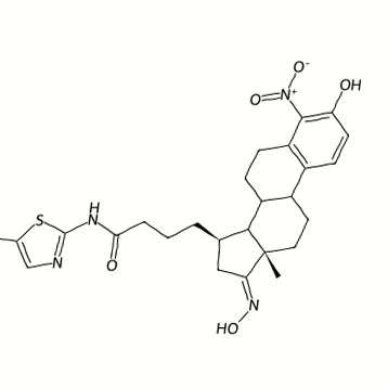 Cc1cnc(NC(=O)CCC[C@@H]2C/C(=N\O)[C@@]3(C)CCC4c5ccc(O)c([N+](=O)[O-])c5CCC4C23)s1